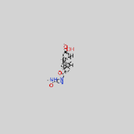 CNC(=O)c1cnn(CC(=O)[C@H]2CC[C@H]3[C@@H]4CC[C@H]5C[C@@](O)(COC)CC[C@]5(C)[C@H]4CC[C@]23C)c1